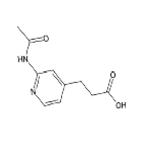 CC(=O)Nc1cc(CCC(=O)O)ccn1